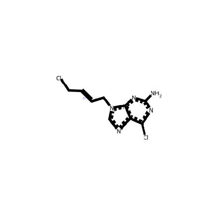 Nc1nc(Cl)c2ncn(C/C=C/CCl)c2n1